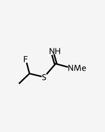 CNC(=N)SC(C)F